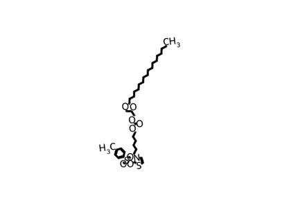 CCCCCCCCCCCCCCCCCC1OCC(COC(=O)OCCCCCCN2C=CSC2OS(=O)(=O)c2ccc(C)cc2)O1